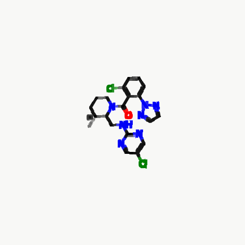 C[C@@H]1CCCN(C(=O)c2c(Cl)cccc2-n2nccn2)C1CNc1ncc(Cl)cn1